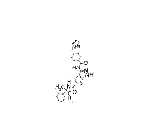 CC(C)(NC(=O)c1cc2c(NC(=O)c3ccc(Cn4cccn4)cc3)n[nH]c2s1)c1ccccc1